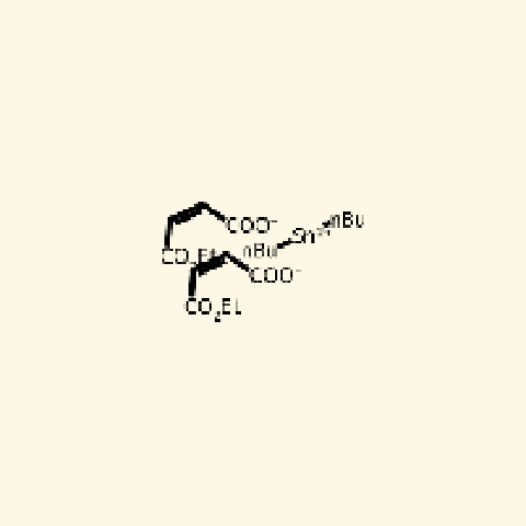 CCC[CH2][Sn+2][CH2]CCC.CCOC(=O)/C=C\C(=O)[O-].CCOC(=O)/C=C\C(=O)[O-]